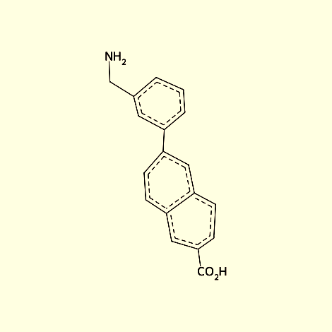 NCc1cccc(-c2ccc3cc(C(=O)O)ccc3c2)c1